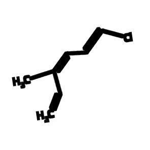 C=C/C(C)=C\C=C\Cl